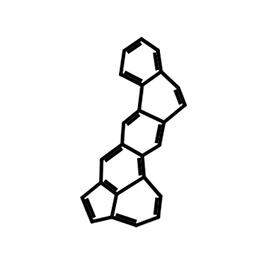 C1=Cc2cc3cc4c(ccc5ccccc54)cc3c3cccc1c23